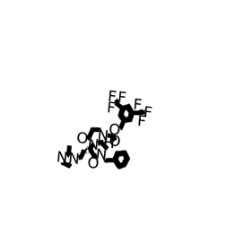 CC1=NCCN1CC[C@H]1C(=O)N(Cc2ccccc2)C[C@@H]2N(C(=O)OCc3cc(C(F)(F)F)cc(C(F)(F)F)c3)CCC(=O)N21